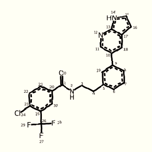 O=C(NCCc1cccc(-c2cnc3[nH]ccc3c2)c1)c1ccc(Cl)c(C(F)(F)F)c1